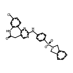 O=C1Cc2cnc(Nc3ccc(S(=O)(=O)N4Cc5ccccc5C4)cc3)nc2-c2ccc(Cl)cc2N1